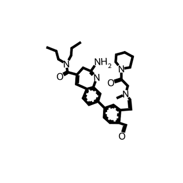 CCCN(CCC)C(=O)C1=Cc2ccc(-c3ccc(C=O)c(/C=C\N(C)CC(=O)N4CCCCC4)c3)cc2N=C(N)C1